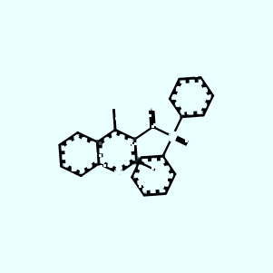 Cc1nc2ccccc2c(C)c1C(=O)P(=O)(c1ccccc1)c1ccccc1